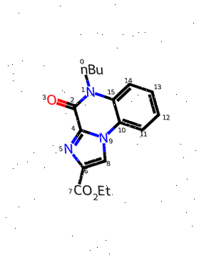 CCCCn1c(=O)c2nc(C(=O)OCC)cn2c2ccccc21